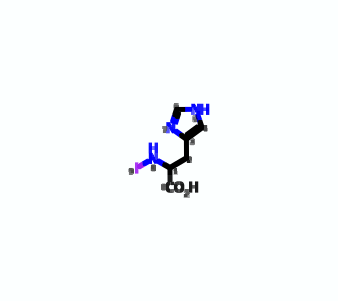 O=C(O)C(Cc1c[nH]cn1)NI